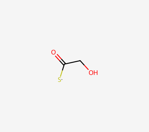 O=C([S])CO